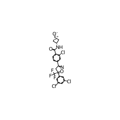 O=C(N[C@H]1C[S@@+]([O-])C1)c1ccc(C2=NO[C@@](c3cc(Cl)cc(Cl)c3)(C(F)(F)F)C2)cc1Cl